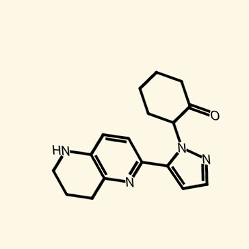 O=C1CCCCC1n1nccc1-c1ccc2c(n1)CCCN2